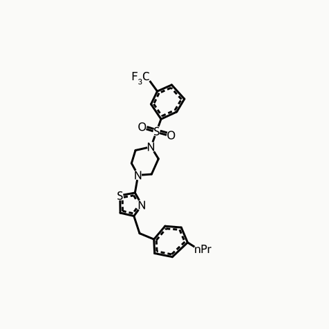 CCCc1ccc(Cc2csc(N3CCN(S(=O)(=O)c4cccc(C(F)(F)F)c4)CC3)n2)cc1